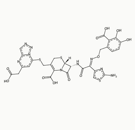 Nc1nc(C(=NOCc2ccc(O)c(O)c2C(=O)O)C(=O)N[C@@H]2C(=O)N3C(C(=O)O)=C(CSc4cc(CC(=O)O)nc5cnnn45)CS[C@H]23)cs1